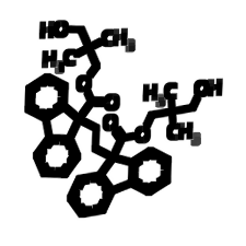 CC(C)(CO)COC(=O)C1(CCC2(C(=O)OCC(C)(C)CO)c3ccccc3-c3ccccc32)c2ccccc2-c2ccccc21